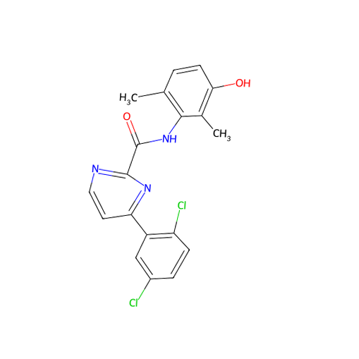 Cc1ccc(O)c(C)c1NC(=O)c1nccc(-c2cc(Cl)ccc2Cl)n1